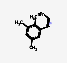 CCC/C=[C]\c1cc(C)cc(C)c1C